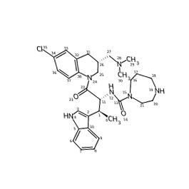 C[C@@H](c1c[nH]c2ccccc12)[C@@H](NC(=O)N1CCCNCC1)C(=O)N1C[C@@H](CN(C)C)Cc2cc(Cl)ccc21